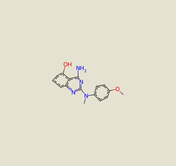 COc1ccc(N(C)c2nc(N)c3c(O)cccc3n2)cc1